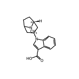 CN1C2CC[C@@H]1CC(n1cc(C(=O)O)c3ccccc31)C2